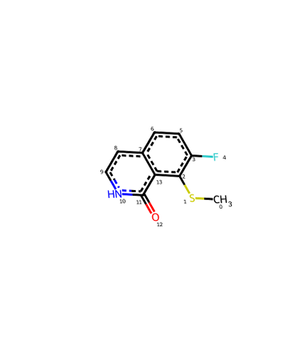 CSc1c(F)ccc2cc[nH]c(=O)c12